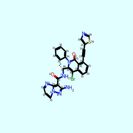 C[C@@H](NC(=O)c1c(N)nn2cccnc12)c1c(Br)c2cccc(C#Cc3cncs3)c2c(=O)n1-c1ccccc1